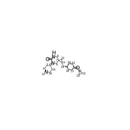 CN1CCC(N2CC3(CNC2=O)CC3Cc2ccc(OC3CC3)cc2)CC1